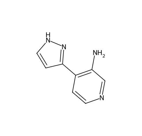 Nc1cnccc1-c1cc[nH]n1